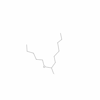 [CH2]C(CCCCCC)OCCCCC